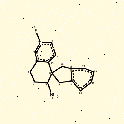 NC1CCc2cc(F)ccc2C12Cc1ccccc1C2